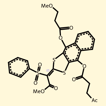 COCCC(=O)Oc1c2c(c(OC(=O)CCC(C)=O)c3ccccc13)S/C(=C(\C(=O)OC)S(=O)(=O)c1ccccc1)S2